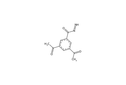 CC(=O)c1cc(C(C)=O)cc(C(=O)N=N)c1